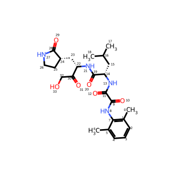 Cc1cccc(C)c1NC(=O)C(=O)N[C@@H](CC(C)C)C(=O)N[C@@H](C[C@@H]1CCNC1=O)C(=O)CO